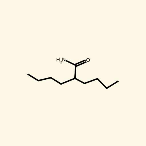 CCCCC(CCCC)C(N)=O